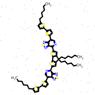 CCCCCCc1ccc(-c2ccc(-c3cnc(-c4cc5c(s4)-c4sc(-c6ncc(-c7ccc(-c8ccc(CCCCCC)s8)s7)c7nsnc67)cc4C5(CCCCCC)CCCCCC)c4nsnc34)s2)s1